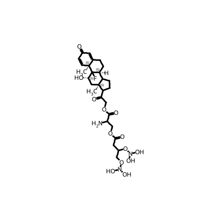 C[C@]12C[C@H](O)C3(F)[C@@H](CCC4=CC(=O)C=C[C@@]43C)C1CCC2C(=O)COC(=O)C(N)COC(=O)CC(CON(O)O)ON(O)O